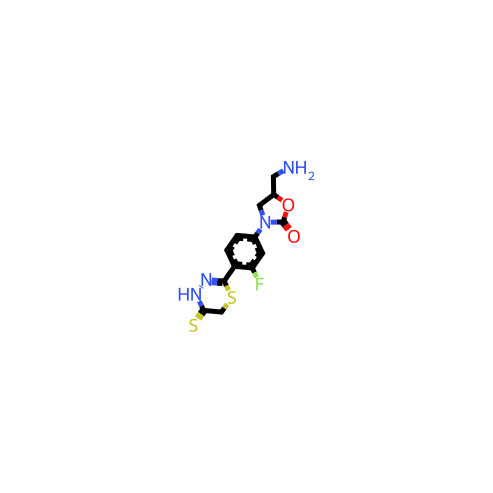 NCC1CN(c2ccc(C3=NNC(=S)CS3)c(F)c2)C(=O)O1